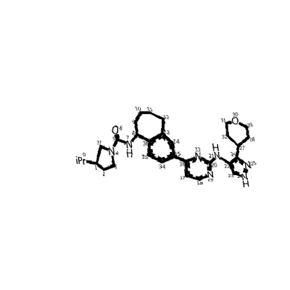 CC(C)C1CCN(C(=O)NC2CCCCc3cc(-c4ccnc(Nc5c[nH]nc5C5CCOCC5)n4)ccc32)C1